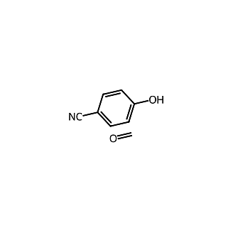 C=O.N#Cc1ccc(O)cc1